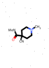 CNC(=O)C1(C#N)CCN(C)CC1